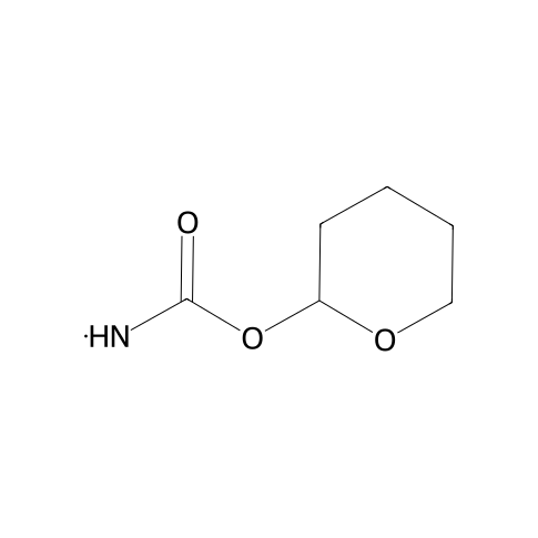 [NH]C(=O)OC1CCCCO1